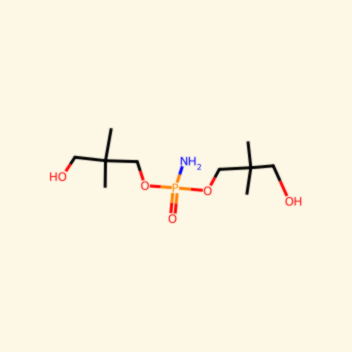 CC(C)(CO)COP(N)(=O)OCC(C)(C)CO